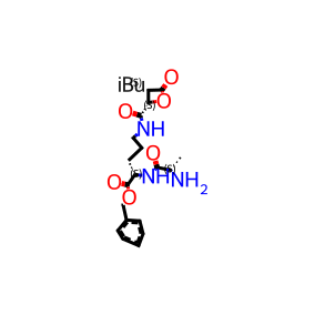 CC[C@H](C)C1C(=O)O[C@@H]1C(=O)NCCC[C@H](NC(=O)[C@H](C)N)C(=O)OCc1ccccc1